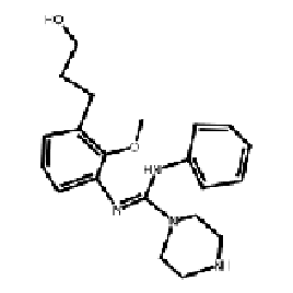 COc1c(CCCO)cccc1N=C(Nc1ccccc1)N1CCNCC1